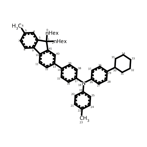 CCCCCCC1(CCCCCC)c2cc(C)ccc2-c2ccc(-c3ccc(N(c4ccc(C)cc4)c4ccc(C5CCCCC5)cc4)cc3)cc21